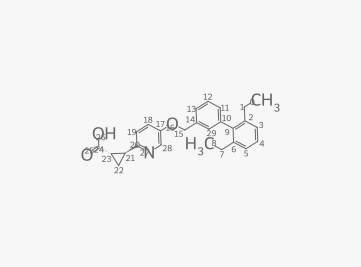 CCc1cccc(CC)c1-c1cccc(COc2ccc([C@H]3C[C@@H]3C(=O)O)nc2)c1